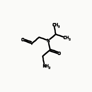 CC(C)N(C[C]=O)C(=O)CN